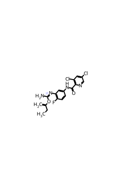 C=C(CC)O/C(N)=N\c1cc(NC(=O)c2ncc(Cl)cc2Cl)ccc1F